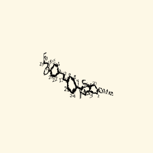 COc1ccc2nc(-c3ccc(C=Cc4ccc(OCCF)cc4)cc3)sc2c1